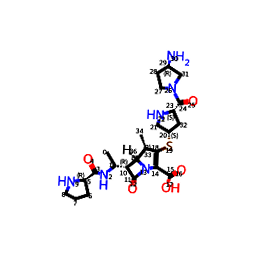 CC(NC(=O)[C@H]1CCCN1)[C@H]1C(=O)N2C(C(=O)O)=C(S[C@@H]3CN[C@H](C(=O)N4CC[C@@H](N)C4)C3)[C@H](C)[C@H]12